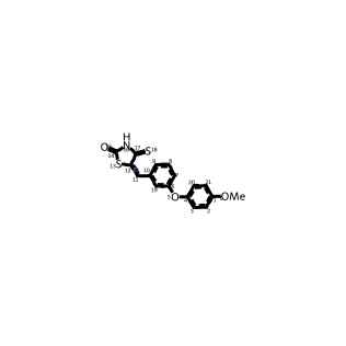 COc1ccc(Oc2cccc(/C=C3/SC(=O)NC3=S)c2)cc1